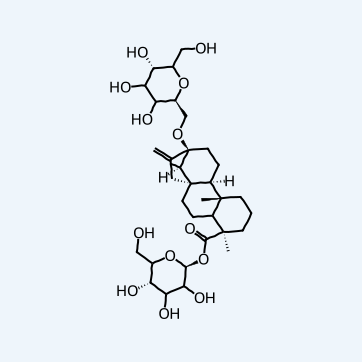 C=C1C[C@@]23CCC4[C@](C)(C(=O)O[C@@H]5OC(CO)[C@@H](O)C(O)C5O)CCC[C@@]4(C)[C@@H]2CC[C@]1(OC[C@@H]1OC(CO)[C@@H](O)C(O)C1O)[C@@H]3C